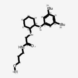 CCOCCCNC(=O)CSC1CCCCC1Sc1cc(C(C)(C)C)cc(C(C)(C)C)c1